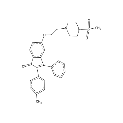 Cc1ccc(C2=C(c3ccccc3)c3cc(OCCN4CCN(S(C)(=O)=O)CC4)ccc3C2=O)cc1